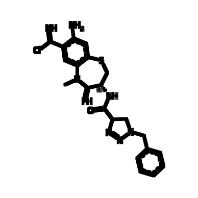 CN1C(=P)[C@@H](NC(=O)C2CN(Cc3ccccc3)N=N2)CSc2cc(N)c(C(=N)Cl)cc21